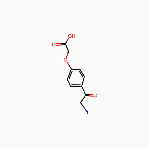 O=C(O)COc1ccc(C(=O)CI)cc1